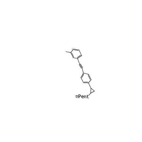 CCCCCC1CC1c1ccc(C#Cc2cc[c]c(C)c2)cc1